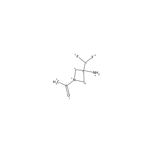 CC(=O)N1CC(N)(C(F)F)C1